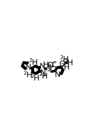 [2H]c1c(-n2cccc2)c([2H])c2nc([S+]([O-])Cc3nccc(OC([2H])([2H])[2H])c3C)n([2H])c2c1[2H]